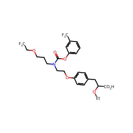 CCOC(Cc1ccc(OCCN(CCCOCC(F)(F)F)C(=O)Oc2cccc(C(F)(F)F)c2)cc1)C(=O)O